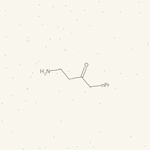 CCCCC(=O)CCN